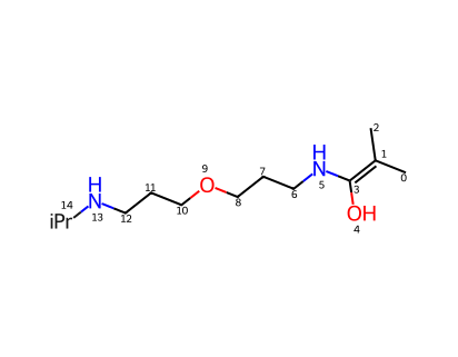 CC(C)=C(O)NCCCOCCCNC(C)C